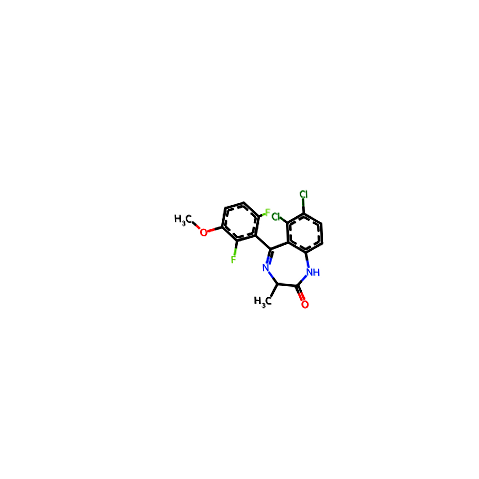 COc1ccc(F)c(C2=NC(C)C(=O)Nc3ccc(Cl)c(Cl)c32)c1F